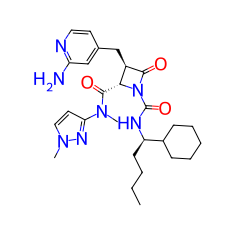 CCCC[C@@H](NC(=O)N1C(=O)[C@H](Cc2ccnc(N)c2)[C@H]1C(=O)N(C)c1ccn(C)n1)C1CCCCC1